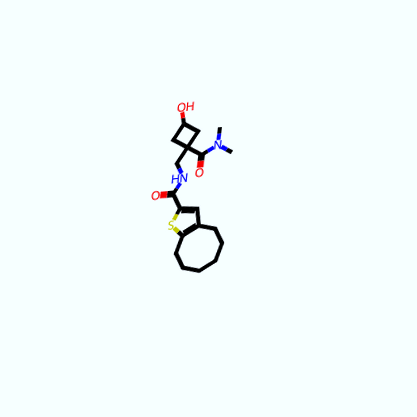 CN(C)C(=O)C1(CNC(=O)c2cc3c(s2)CCCCCC3)CC(O)C1